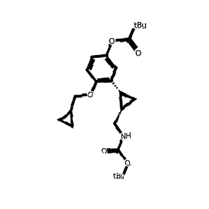 CC(C)(C)OC(=O)NC[C@@H]1C[C@H]1c1cc(OC(=O)C(C)(C)C)ccc1OCC1CC1